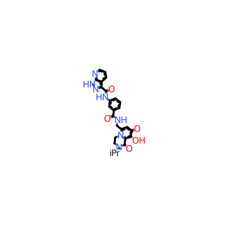 CC(C)N1CCn2c(CNC(=O)c3cccc(NC(=O)c4n[nH]c5ncccc45)c3)cc(=O)c(O)c2C1=O